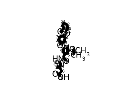 CC(C)Oc1cc(C(=O)Nc2nc(CC(=O)O)cs2)cc(Oc2ccc(S(=O)(=O)N3CCCC3)cc2)n1